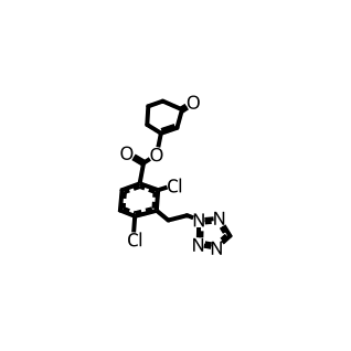 O=C1C=C(OC(=O)c2ccc(Cl)c(CCn3ncnn3)c2Cl)CCC1